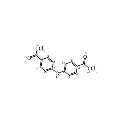 O=C(c1ccc(Oc2ccc(C(=O)C(Cl)(Cl)Cl)cc2)cc1)C(Cl)(Cl)Cl